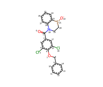 O=C(c1cc(Cl)c(OCc2ccccc2)c(Cl)c1)N1CC[S+]([O-])c2ccccc21